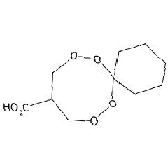 O=C(O)C1COOC2(CCCCC2)OOC1